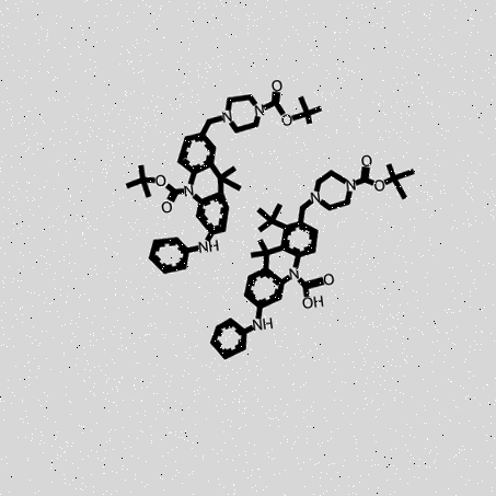 CC(C)(C)OC(=O)N1CCN(Cc2ccc3c(c2)C(C)(C)c2ccc(Nc4ccccc4)cc2N3C(=O)OC(C)(C)C)CC1.CC(C)(C)OC(=O)N1CCN(Cc2ccc3c(c2C(C)(C)C)C(C)(C)c2ccc(Nc4ccccc4)cc2N3C(=O)O)CC1